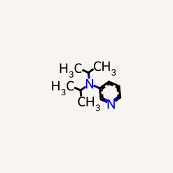 CC(C)N(c1cccnc1)C(C)C